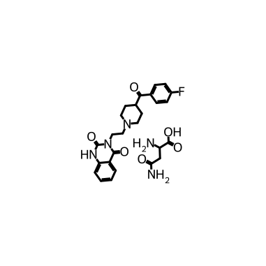 NC(=O)CC(N)C(=O)O.O=C(c1ccc(F)cc1)C1CCN(CCn2c(=O)[nH]c3ccccc3c2=O)CC1